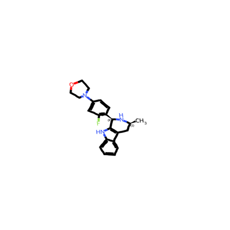 C[C@H]1Cc2c([nH]c3ccccc23)[C@@H](c2ccc(N3CCOCC3)cc2F)N1